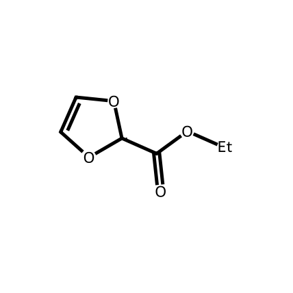 CCOC(=O)[C]1OC=CO1